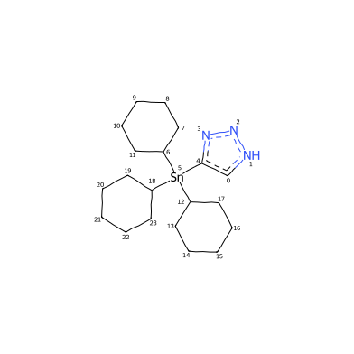 c1[nH]nn[c]1[Sn]([CH]1CCCCC1)([CH]1CCCCC1)[CH]1CCCCC1